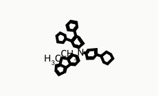 CC1(C)c2ccccc2-c2ccc(N(c3ccc(C4CCCCC4)cc3)c3ccc(-c4ccccc4)c(C4CCCCC4)c3)cc21